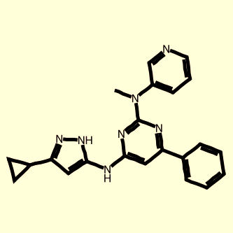 CN(c1cccnc1)c1nc(Nc2cc(C3CC3)n[nH]2)cc(-c2ccccc2)n1